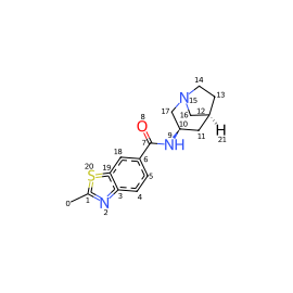 Cc1nc2ccc(C(=O)N[C@@H]3C[C@@H]4CCN(C4)C3)cc2s1